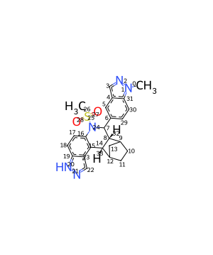 Cn1ncc2cc(C3[C@@H]4C5CCC(C5)[C@@H]4c4c(ccc5[nH]ncc45)N3S(C)(=O)=O)ccc21